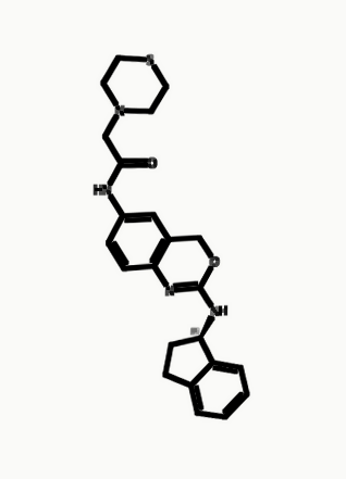 O=C(CN1CCSCC1)Nc1ccc2c(c1)COC(N[C@@H]1CCc3ccccc31)=N2